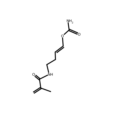 C=C(C)C(=O)NCCC=COC(N)=O